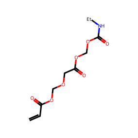 C=CC(=O)OCOCC(=O)OCOC(=O)NCC